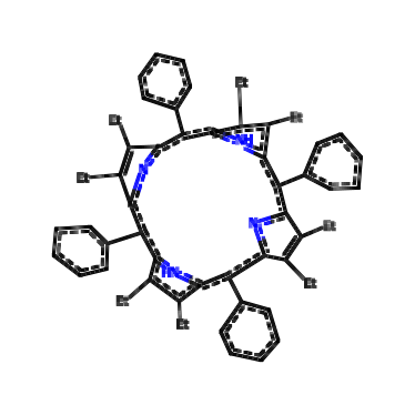 CCC1=C(CC)c2nc1c(-c1ccccc1)c1[nH]c(c(CC)c1CC)c(-c1ccccc1)c1nc(c(-c3ccccc3)c3[nH]c(c(CC)c3CC)c2-c2ccccc2)C(CC)=C1CC